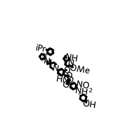 COc1nc2[nH]ccc2cc1Oc1cc(N2CCC3(CC2)CN([C@@H]2CCC[C@@H]2c2ccccc2C(C)C)C3)ccc1C(=O)NS(=O)(=O)c1ccc(NC[C@H]2CC[C@](C)(O)CC2)c([N+](=O)[O-])c1